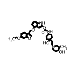 CCOc1ccc2c(COc3cccc4[nH]c(OC(=O)NC5CCC(O)(CCN6CC[C@H](O)[C@@H](C)C6)CC5)cc34)coc2c1